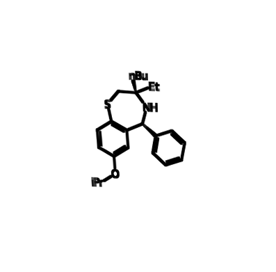 CCCC[C@]1(CC)CSc2ccc(OC(C)C)cc2[C@H](c2ccccc2)N1